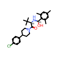 Cc1cc(C)c([C@@H](O)N[C@@H](C(=O)N2CCC(c3ccc(Cl)cc3)CC2)C(C)(C)C)c(C)c1